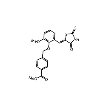 COC(=O)c1ccc(COc2c(/C=C3\SC(=S)NC3=O)cccc2OC)cc1